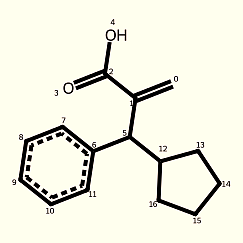 C=C(C(=O)O)C(c1ccccc1)C1CCCC1